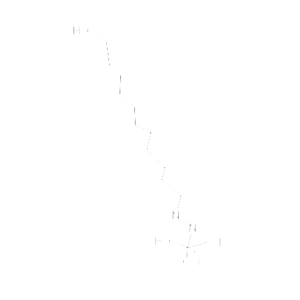 CCCCCCCCCCCCN=NC(C)(C)O